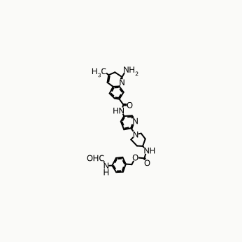 CC1=Cc2ccc(C(=O)Nc3ccc(N4CCC(NC(=O)OCc5ccc(NC=O)cc5)CC4)nc3)cc2N=C(N)C1